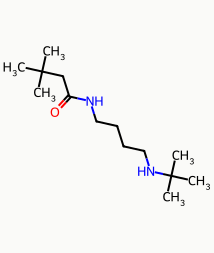 CC(C)(C)CC(=O)NCCCCNC(C)(C)C